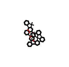 CC1(C)c2ccccc2-c2ccc(N(c3ccccc3-c3ccccc3)c3cccc4c3C3(c5ccccc5-4)c4ccccc4-n4c5ccccc5c5cccc3c54)cc21